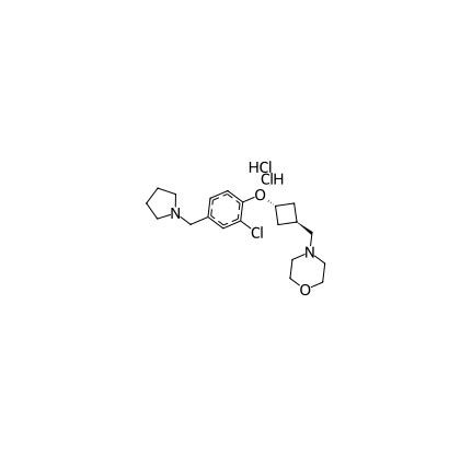 Cl.Cl.Clc1cc(CN2CCCC2)ccc1O[C@H]1C[C@H](CN2CCOCC2)C1